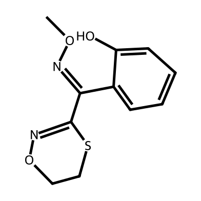 CON=C(C1=NOCCS1)c1ccccc1O